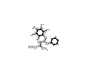 CCOC(=O)[C@H](C)N[P@@](Oc1ccccc1)Oc1c(F)c(F)c(F)c(F)c1F